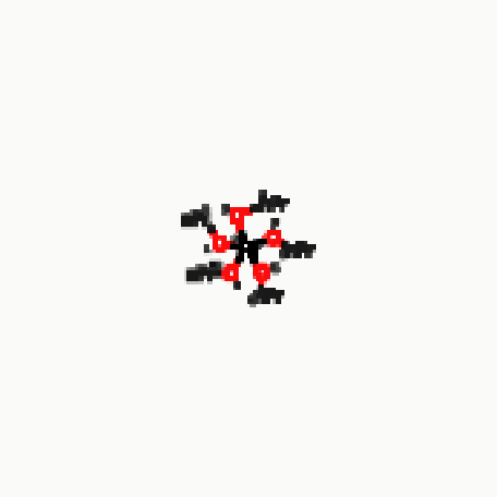 CCC[O][Hf]([O]CCC)([O]CCC)([O]CCC)[O]CCC